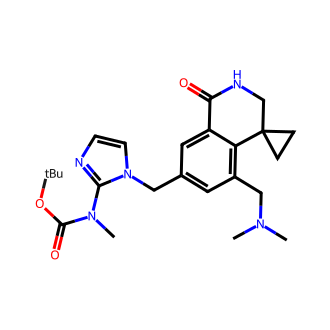 CN(C)Cc1cc(Cn2ccnc2N(C)C(=O)OC(C)(C)C)cc2c1C1(CC1)CNC2=O